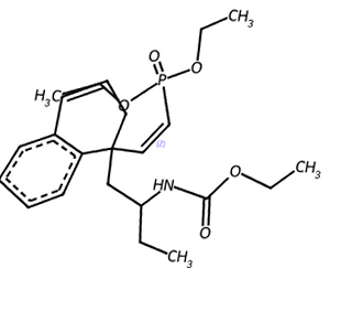 CCOC(=O)NC(CC)CC1(/C=C\P(=O)(OCC)OCC)CC=Cc2ccccc21